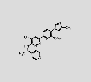 COc1nc(-c2cc(C)c(N[C@@H](C)c3ccncc3)nn2)ccc1-n1cnc(C)c1